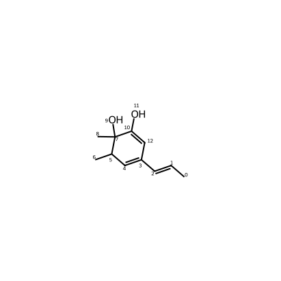 C/C=C/C1=CC(C)C(C)(O)C(O)=C1